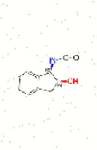 O=CN[C@@H]1c2ccccc2C[C@@H]1O